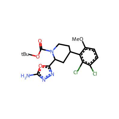 COc1ccc(Cl)c(Cl)c1C1CCN(C(=O)OC(C)(C)C)C(c2nnc(N)o2)C1